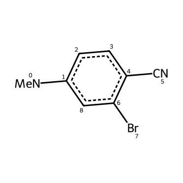 CNc1ccc(C#N)c(Br)c1